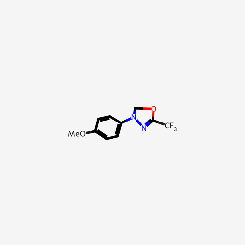 COc1ccc(N2COC(C(F)(F)F)=N2)cc1